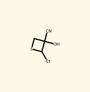 CCC1SCC1(O)C#N